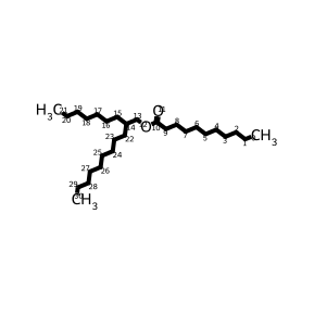 CCCCCCCCCCC(=O)OCC(CCCCCCC)CCCCCCCCC